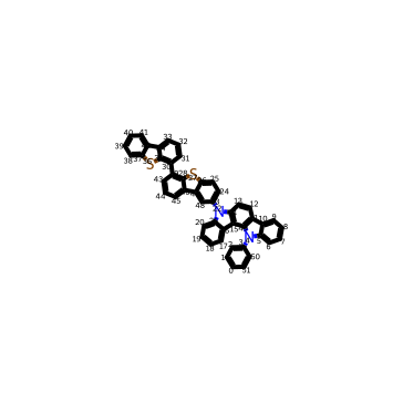 c1ccc(-n2c3ccccc3c3ccc4c(c5ccccc5n4-c4ccc5sc6c(-c7cccc8c7sc7ccccc78)cccc6c5c4)c32)cc1